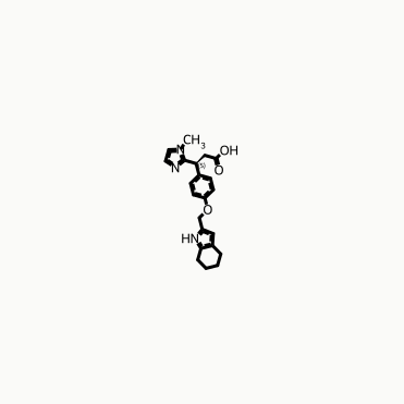 Cn1ccnc1[C@@H](CC(=O)O)c1ccc(OCc2cc3c([nH]2)CCCC3)cc1